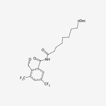 CCCCCCCCCCCCCCCCCC(=O)NC(=O)c1cc(C(F)(F)F)cc(C(F)(F)F)c1I=O